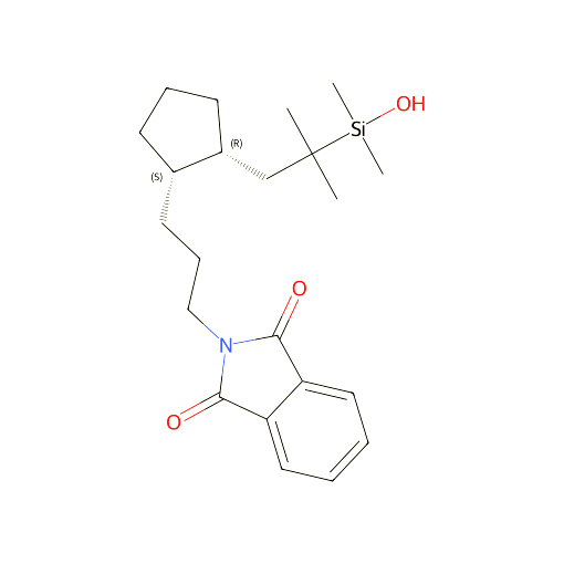 CC(C)(C[C@H]1CCC[C@H]1CCCN1C(=O)c2ccccc2C1=O)[Si](C)(C)O